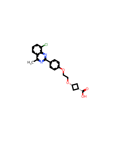 Cc1nc(-c2ccc(OCCO[C@H]3C[C@@H](C(=O)O)C3)cc2)nc2c(Cl)cccc12